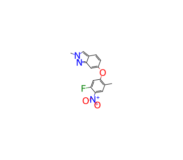 Cc1cc([N+](=O)[O-])c(F)cc1Oc1ccc2cn(C)nc2c1